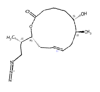 C[C@H]1C/C=C/C[C@H]([C@@H](C)CN=[N+]=[N-])OC(=O)CCC[C@@H]1O